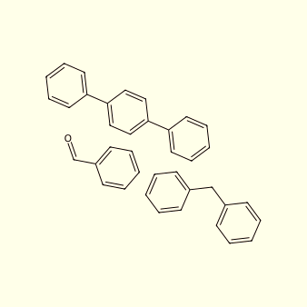 O=Cc1ccccc1.c1ccc(-c2ccc(-c3ccccc3)cc2)cc1.c1ccc(Cc2ccccc2)cc1